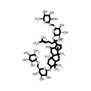 CC(C)=CCCC(C)(O[C@@H]1O[C@H](CO[C@@H]2O[C@@H](C)[C@@H](O)[C@@H](O)[C@H]2O)[C@@H](O)[C@H](O)[C@H]1O)C1CCC2(C)C1C(O)CC1C3(C)CCC(O[C@@H]4O[C@H](CO[C@@H]5O[C@@H](C)[C@H](O)[C@@H](O)[C@H]5O)[C@@H](O)[C@H](O)[C@H]4O)C(C)(C)C3CCC12C